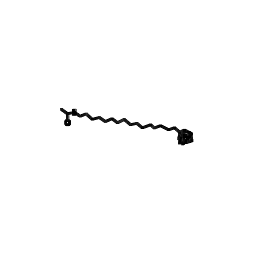 CC(=O)SCCCCCCCCCCCCCCCC[C]12[CH]3[CH]4[CH]5[CH]1[Fe]45321678[CH]2[CH]1[CH]6[CH]7[CH]28